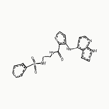 O=C(NCCNS(=O)(=O)c1ccccc1)c1sccc1Nc1ccnc2[nH]ccc12